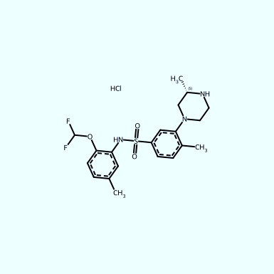 Cc1ccc(OC(F)F)c(NS(=O)(=O)c2ccc(C)c(N3CCN[C@@H](C)C3)c2)c1.Cl